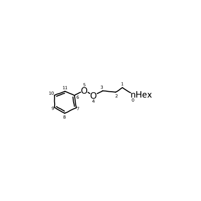 CCCCCCCCCOOc1ccccc1